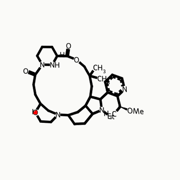 CCN1C2CCC3CC2C(CC(C)(C)COC(=O)[C@@H]2CCCN(N2)C(=O)CC[C@H]2CN3CCO2)C1c1cccnc1[C@H](C)OC